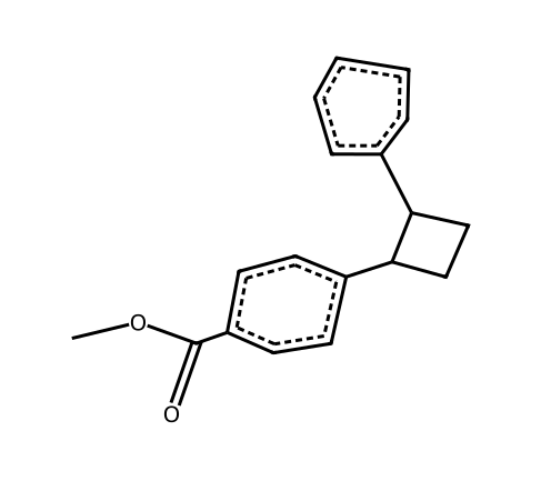 COC(=O)c1ccc(C2CCC2c2ccccc2)cc1